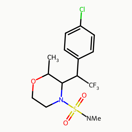 CNS(=O)(=O)N1CCOC(C)C1C(c1ccc(Cl)cc1)C(F)(F)F